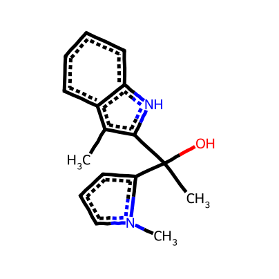 Cc1c(C(C)(O)c2cccn2C)[nH]c2ccccc12